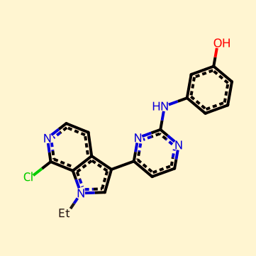 CCn1cc(-c2ccnc(Nc3cccc(O)c3)n2)c2ccnc(Cl)c21